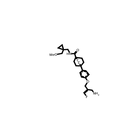 COCC1(CNC(=O)C23CCC(c4ccc(OCC(=CF)CN)cc4)(CC2)CC3)CC1